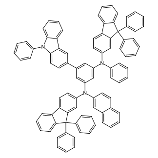 c1ccc(N(c2cc(-c3ccc4c(c3)c3ccccc3n4-c3ccccc3)cc(N(c3ccc4c(c3)C(c3ccccc3)(c3ccccc3)c3ccccc3-4)c3ccc4ccccc4c3)c2)c2ccc3c(c2)C(c2ccccc2)(c2ccccc2)c2ccccc2-3)cc1